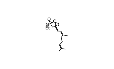 CCOP(=O)(CC=CC=C(C)CCC=C(C)C)OCC